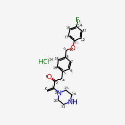 C=C(C(=O)Cc1ccc(COc2ccc(F)cc2)cc1)N1CCNCC1.Cl